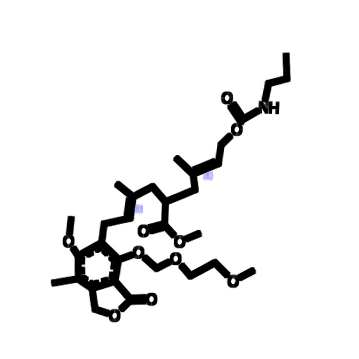 CCCNC(=O)OC/C=C(\C)CC(C/C(C)=C/Cc1c(OC)c(C)c2c(c1OCOCCOC)C(=O)OC2)C(=O)OC